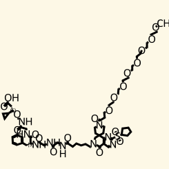 COCCOCCOCCOCCOCCOCCOCCOCCC(=O)N1CCC2(CC1)CN(CCCCCC(=O)NCC(=O)NCC(=O)N[C@@H](Cc1ccccc1)C(=O)NCC(=O)NCO[C@@H](CC(=O)O)C1CC1)C(=O)c1cnc(S(=O)(=O)C3CCCC3)nc12